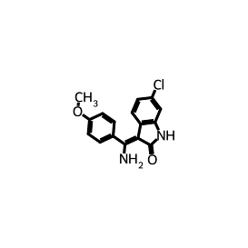 COc1ccc(/C(N)=C2/C(=O)Nc3cc(Cl)ccc32)cc1